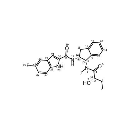 CC[C@H](O)C(=O)N(C)[C@H]1c2ccccc2C[C@H]1NC(=O)c1cc2cc(F)ccc2[nH]1